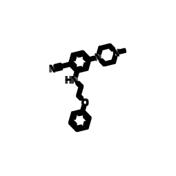 CN1CCN(c2ccc(C#N)c(NCCOc3ccccc3)c2)CC1